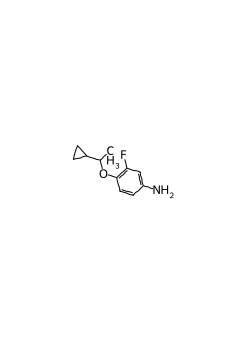 CC(Oc1ccc(N)cc1F)C1CC1